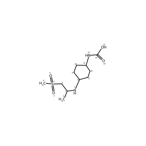 CC(CS(C)(=O)=O)NC1CCC(NC(=O)O)CC1